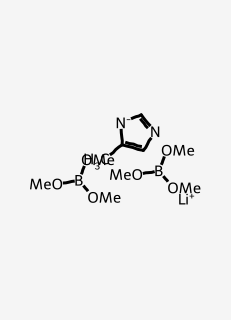 COB(OC)OC.COB(OC)OC.Cc1cnc[n-]1.[Li+]